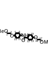 COCCOc1ccc(NC(=O)c2ccc(OCCOC)cc2)cc1